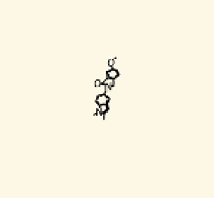 COc1ccc2c(c1)C(=O)N(c1ccc3c(c1)cc(C)n3C)C2